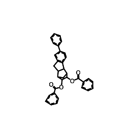 O=C(OC1C2CC(C1OC(=O)c1ccccc1)C1c3ccc(-c4ccccc4)cc3CC21)c1ccccc1